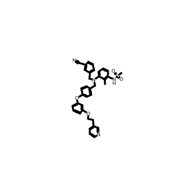 Cc1c(NS(C)(=O)=O)cccc1N(Cc1ccc(Oc2cccc(OCCc3cccnc3)c2)cc1)Cc1cccc(C#N)c1